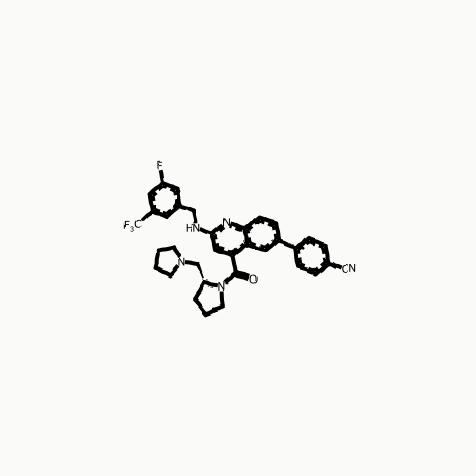 N#Cc1ccc(-c2ccc3nc(NCc4cc(F)cc(C(F)(F)F)c4)cc(C(=O)N4CCC[C@H]4CN4CCCC4)c3c2)cc1